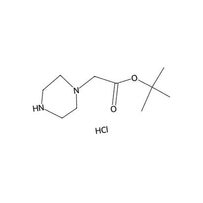 CC(C)(C)OC(=O)CN1CCNCC1.Cl